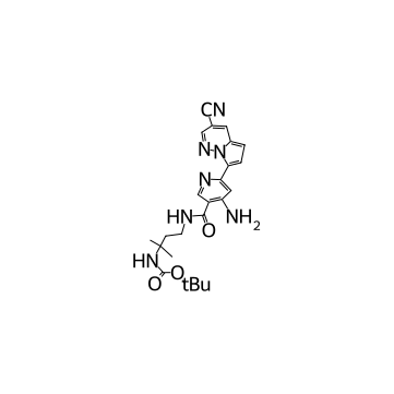 CC(C)(CCNC(=O)c1cnc(-c2ccc3cc(C#N)cnn23)cc1N)NC(=O)OC(C)(C)C